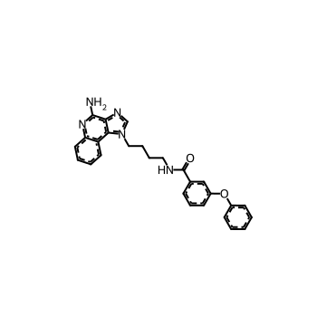 Nc1nc2ccccc2c2c1ncn2CCCCNC(=O)c1cccc(Oc2ccccc2)c1